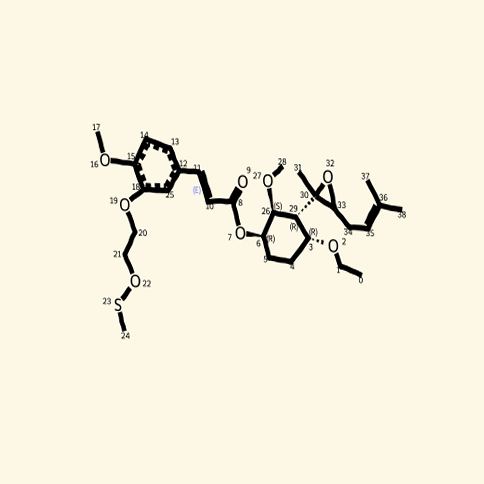 CCO[C@@H]1CC[C@@H](OC(=O)/C=C/c2ccc(OC)c(OCCOSC)c2)[C@@H](OC)[C@@H]1C1(C)OC1CC=C(C)C